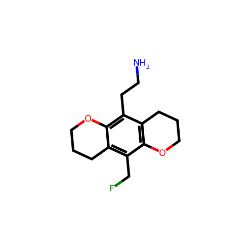 NCCc1c2c(c(CF)c3c1OCCC3)OCCC2